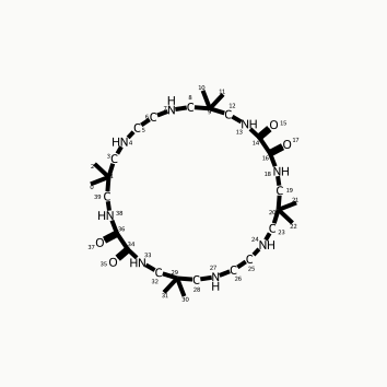 CC1(C)CNCCNCC(C)(C)CNC(=O)C(=O)NCC(C)(C)CNCCNCC(C)(C)CNC(=O)C(=O)NC1